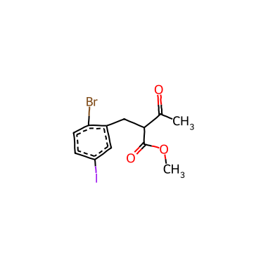 COC(=O)C(Cc1cc(I)ccc1Br)C(C)=O